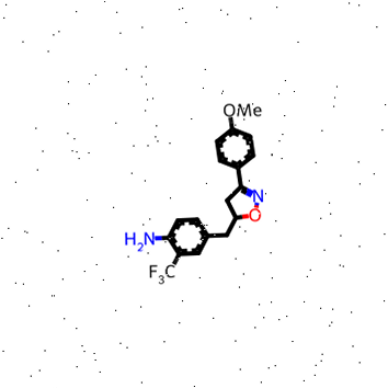 COc1ccc(C2=NOC(Cc3ccc(N)c(C(F)(F)F)c3)C2)cc1